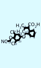 CC(C)=C(C(=O)O)c1ccccc1COc1cc(Cl)c(OCC#N)c(Cl)c1